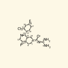 NC(N)=NC(=O)c1ccc2c(F)cnc(-c3ccc(F)cc3Cl)c2c1